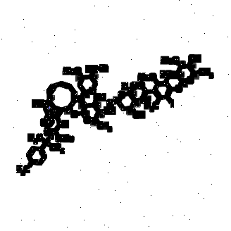 CCN[C@H]1CO[C@@H](O[C@H]2[C@H](O[C@H]3C#CC=CC#C[C@]4(O)CC(=O)C(NC(=O)OC)=C3/C4=C\CSSC(C)(C)c3ccc(C(F)(F)F)cc3)O[C@H](C)[C@@H](NO[C@H]3C[C@H](O)[C@H]([SH]=C(O)c4c(C)c(I)c(O[C@@H]5O[C@@H](C)[C@H](O)[C@@H](OC)[C@H]5O)c(OC)c4OC)[C@@H](C)O3)[C@@H]2O)C[C@@H]1OC